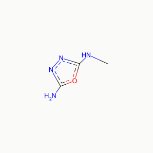 CNc1nnc(N)o1